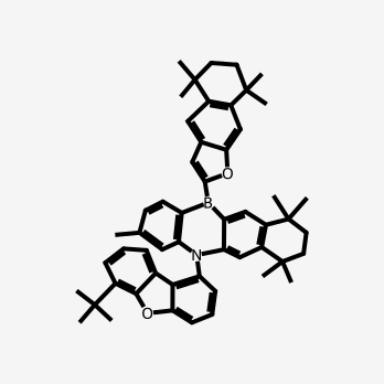 Cc1ccc2c(c1)N(c1cccc3oc4c(C(C)(C)C)cccc4c13)c1cc3c(cc1B2c1cc2cc4c(cc2o1)C(C)(C)CCC4(C)C)C(C)(C)CCC3(C)C